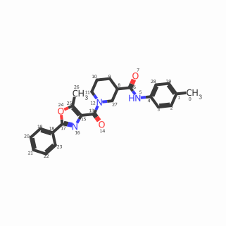 Cc1ccc(NC(=O)C2CCCN(C(=O)c3nc(-c4ccccc4)oc3C)C2)cc1